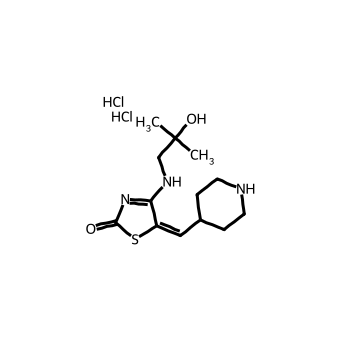 CC(C)(O)CNC1=NC(=O)SC1=CC1CCNCC1.Cl.Cl